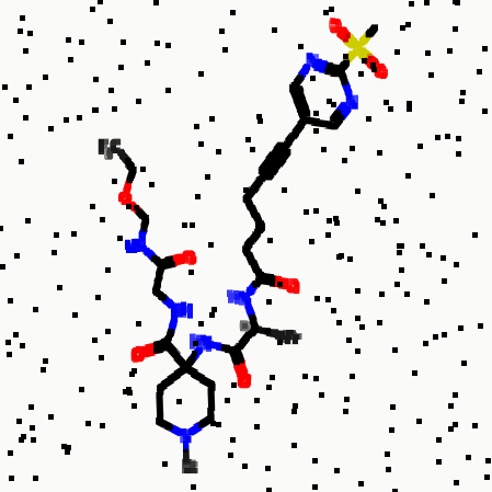 CCN1CCC(NC(=O)[C@@H](NC(=O)CCCC#Cc2cnc(S(C)(=O)=O)nc2)C(C)C)(C(=O)NCC(=O)NCOCC(F)(F)F)CC1